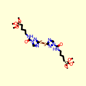 CO[Si](CCCCNC(=O)n1cnc(SSc2ncn(C(=O)NCCCC[Si](OC)(OC)OC)n2)n1)(OC)OC